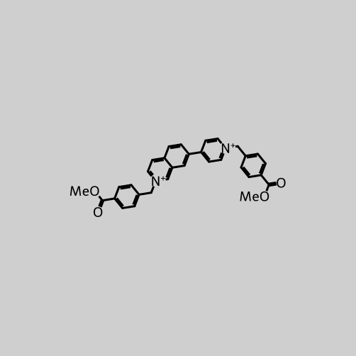 COC(=O)c1ccc(C[n+]2ccc(-c3ccc4cc[n+](Cc5ccc(C(=O)OC)cc5)cc4c3)cc2)cc1